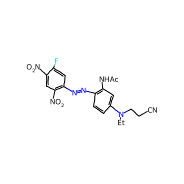 CCN(CCC#N)c1ccc(/N=N/c2cc(F)c([N+](=O)[O-])cc2[N+](=O)[O-])c(NC(C)=O)c1